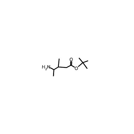 CC(N)C(C)CC(=O)OC(C)(C)C